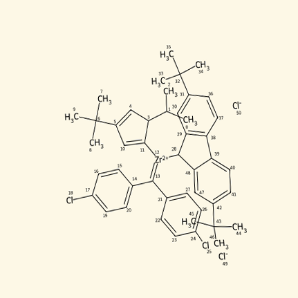 CC(C)C1C=C(C(C)(C)C)C=[C]1[Zr+2](=[C](c1ccc(Cl)cc1)c1ccc(Cl)cc1)[CH]1c2cc(C(C)(C)C)ccc2-c2ccc(C(C)(C)C)cc21.[Cl-].[Cl-]